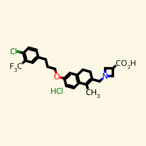 CC1=C(CN2CC(C(=O)O)C2)CCc2cc(OCCCc3ccc(Cl)c(C(F)(F)F)c3)ccc21.Cl